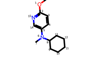 COc1ccc(N(C)C2CCCCC2)cn1